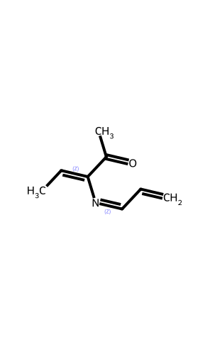 C=C/C=N\C(=C/C)C(C)=O